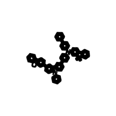 CC1(C)c2ccccc2-c2ccc(N(c3ccc(-c4ccccc4)cc3)c3ccc(-c4ccc5c(c4)c4cc(-c6ccc7c(c6)oc6ccccc67)ccc4n5-c4ccccc4)cc3)cc21